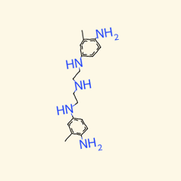 Cc1cc(NCCNCCNc2ccc(N)c(C)c2)ccc1N